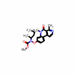 Cc1nccc2c1c(=O)n(C)c1cc(ON(C(=O)OC(C)(C)C)C(C)CCC(F)(F)F)ccc21